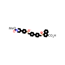 COC(=O)N1CCC(c2ccc([S+]([O-])Cc3ccc(-c4ccc(C[S+]([O-])c5ccc(C(=O)O)c6ccccc56)cc4)cc3)cc2)CC1